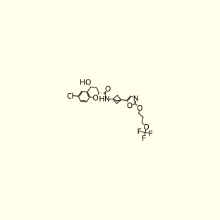 O=C(NC12CC(c3cnc(OCCCOC(F)(F)F)o3)(C1)C2)[C@H]1C[C@@H](O)c2cc(Cl)ccc2O1